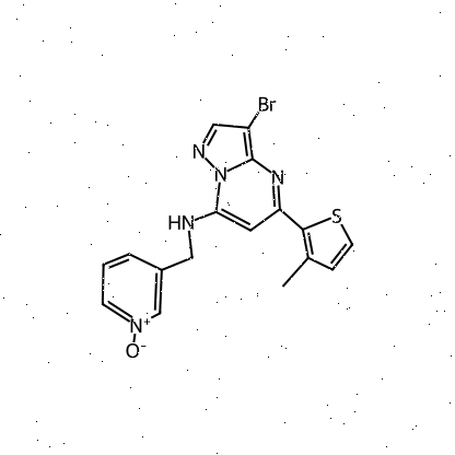 Cc1ccsc1-c1cc(NCc2ccc[n+]([O-])c2)n2ncc(Br)c2n1